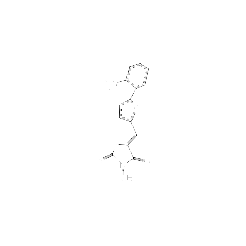 CN1C(=O)/C(=C/c2ccc(-c3ccccc3[N+](=O)[O-])o2)SC1=S